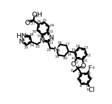 CC1(c2ccc(Cl)cc2F)Oc2cccc(C3CCN(Cc4nc5ccc(C(=O)O)cc5n4Cc4cn[nH]c4)CC3)c2O1